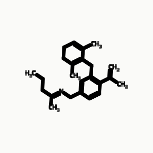 C=C(C)c1ccc(C/N=C(\C)CCC)cc1CC1=C(C)CCC=C1C